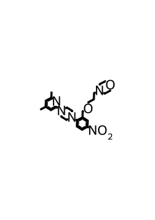 Cc1cc(C)nc(N2CCN(c3ccc([N+](=O)[O-])cc3COCCCN3CCOCC3)CC2)c1